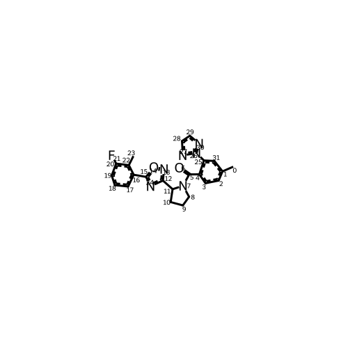 Cc1ccc(C(=O)N2CCCC2c2noc(-c3cccc(F)c3C)n2)c(-n2nccn2)c1